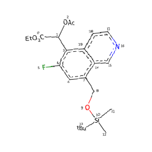 CCOC(=O)C(OC(C)=O)c1c(F)cc(CO[Si](C)(C)C(C)(C)C)c2cnccc12